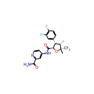 C[C@H]1[C@@H](c2ccc(F)c(F)c2)[C@H](C(=O)Nc2ccnc(C(N)=O)c2)O[C@@]1(C)C(F)(F)F